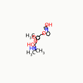 COc1cc(CCO[C@@H]2CCCC[C@H]2N2CCC(O)C2)ccc1OCC(O)CNC(C)C